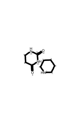 C1CCNCC1.O=C1CCNC(=O)N1